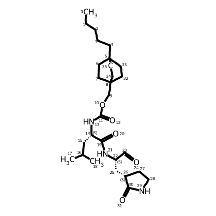 CCCCCC12CCC(COC(=O)N[C@@H](CC(C)C)C(=O)N[C@H](C=O)C[C@@H]3CCNC3=O)(CC1)CC2